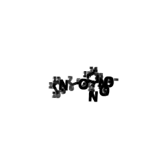 N#Cc1c(OCCCN2CCCC2)cccc1[N+](=O)[O-]